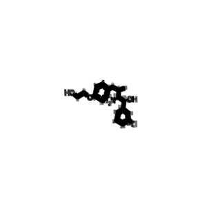 CC(Cc1ccc(OCCO)cc1)[C@@H](N)[C@H](O)c1cccc(Cl)c1